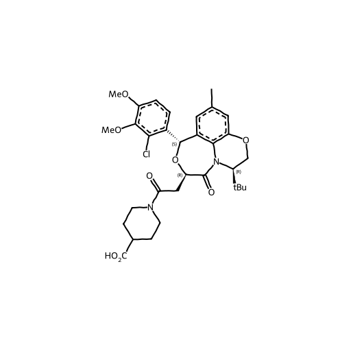 COc1ccc([C@H]2O[C@H](CC(=O)N3CCC(C(=O)O)CC3)C(=O)N3c4c(cc(C)cc42)OC[C@H]3C(C)(C)C)c(Cl)c1OC